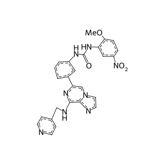 COc1ccc([N+](=O)[O-])cc1NC(=O)Nc1cccc(-c2cn3ccnc3c(NCc3ccncc3)n2)c1